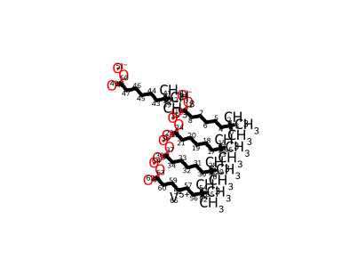 CC(C)(C)CCCCCC(=O)O[O-].CC(C)(C)CCCCCC(=O)O[O-].CC(C)(C)CCCCCC(=O)O[O-].CC(C)(C)CCCCCC(=O)O[O-].CC(C)(C)CCCCCC(=O)O[O-].[V+5]